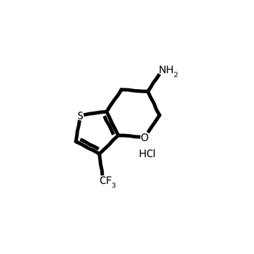 Cl.NC1COc2c(C(F)(F)F)csc2C1